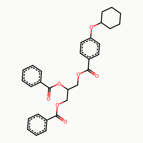 O=C(OCC(COC(=O)c1ccc(OC2CCCCC2)cc1)OC(=O)c1ccccc1)c1ccccc1